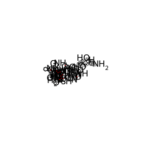 CSCC[C@@H](C(=O)N(CNC(C)=O)C(=O)CC[C@@H](C)[C@H]1CCC2C3C(C[C@H](O)[C@@]21C)[C@@]1(C)CC[C@H](N)C[C@H]1C[C@H]3O)N(C(=O)[C@H](CO)NC(=O)CN(C)C)C(=O)[C@H](CC(C)C)NC(=O)[C@H](Cc1c[nH]cn1)NC(=O)CNC(=O)[C@@H](NC(=O)[C@H](C)NC(=O)[C@H](Cc1c[nH]c2ccccc12)NC(=O)[C@H](CCC(N)=O)NC(=O)CNC(=O)[C@@H](N)CS)C(C)C